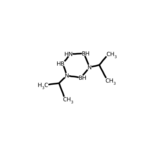 CC(C)N1BNBN(C(C)C)B1